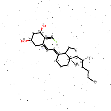 CC(C)CCC[C@@H](C)[C@H]1CCC2C(=C/C=C3/C[C@@H](O)C[C@@H](O)/C3=C/F)CCC[C@@]21C